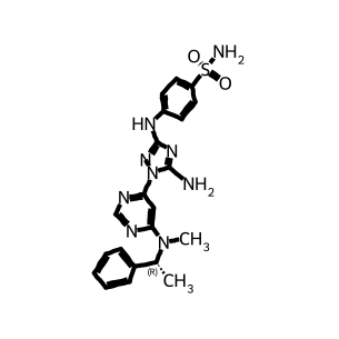 C[C@H](c1ccccc1)N(C)c1cc(-n2nc(Nc3ccc(S(N)(=O)=O)cc3)nc2N)ncn1